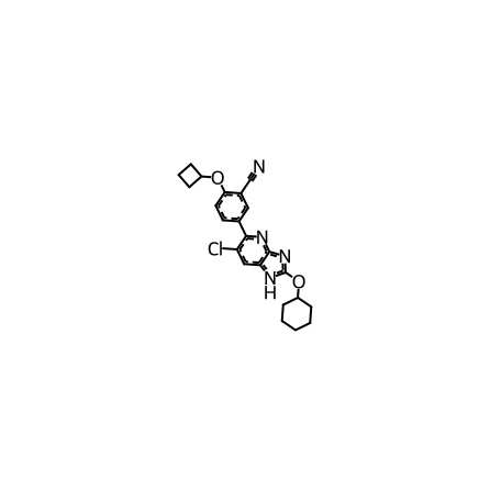 N#Cc1cc(-c2nc3nc(OC4CCCCC4)[nH]c3cc2Cl)ccc1OC1CCC1